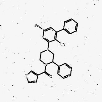 CC(C)c1cc(-c2ccccc2)c(C#N)c(N2CCN(C(=O)c3ccoc3)C(c3ccccc3)C2)n1